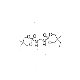 CCC1(C)COP(=O)(NCNP2(=O)OCC(C)(C)CO2)OC1